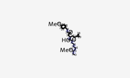 C\C=C(/C=C\C=C\C=C\C(O)=C(\CC(=O)/C=C/c1ccc(OC)cc1)CC(=O)C1CC1)OC